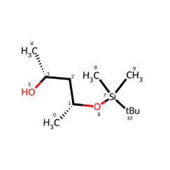 C[C@H](C[C@@H](C)O)O[Si](C)(C)C(C)(C)C